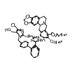 CCCCc1nc(Cl)c(CO)n1Cc1ccc(-c2ccccc2-c2nnn[nH]2)cc1.COc1ccc2c(c1OC)CN1CCc3cc4c(cc3C1C2)OCO4